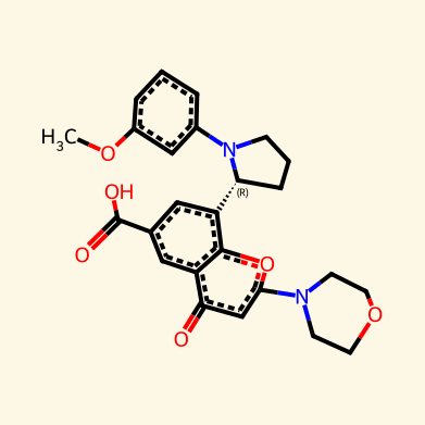 COc1cccc(N2CCC[C@@H]2c2cc(C(=O)O)cc3c(=O)cc(N4CCOCC4)oc23)c1